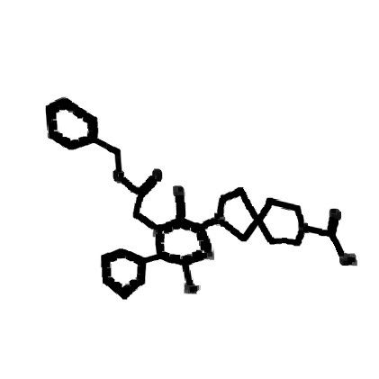 O=C(Cn1c(-c2ccccc2)c(Br)nc(N2CCC3(CCN(C(=O)O)CC3)C2)c1=O)OCc1ccccc1